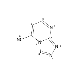 N#Cc1[c]cnc2nncn12